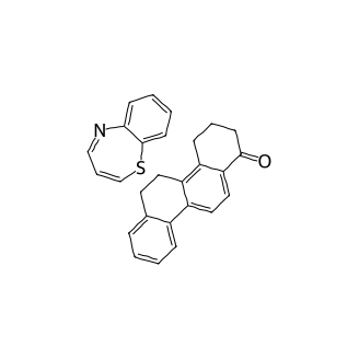 C1=CSc2ccccc2N=C1.O=C1CCCc2c1ccc1c2CCc2ccccc2-1